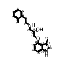 Cc1ccccc1CCNC[C@H](O)COc1cccc2[nH]nc(C)c12